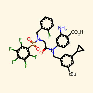 CC(C)(C)c1cc(CN(C(=O)CN(Cc2ccccc2F)S(=O)(=O)c2c(F)c(F)c(F)c(F)c2F)c2ccc(C(=O)O)c(N)c2)cc(C2CC2)c1